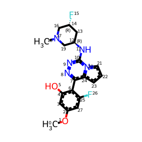 COc1cc(O)c(-c2nnc(N[C@@H]3C[C@@H](F)CN(C)C3)n3cccc23)c(F)c1